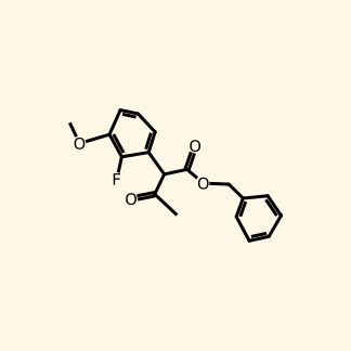 COc1cccc(C(C(C)=O)C(=O)OCc2ccccc2)c1F